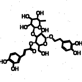 CC1O[C@@H](OC2[C@@H](OC(=O)/C=C/c3ccc(O)c(O)c3)C(CO)O[C@@H](OCCc3ccc(O)c(O)c3)[C@H]2O)[C@@H](O)C(O)[C@H]1O